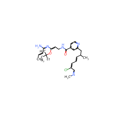 C/C=C/C(N)=N\C(=C\CNC(=O)c1ccnc(CC(C)/C=C/C=C(Cl)\C=N/C)c1)OC(C)(C)CC